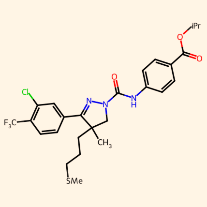 CSCCCC1(C)CN(C(=O)Nc2ccc(C(=O)OC(C)C)cc2)N=C1c1ccc(C(F)(F)F)c(Cl)c1